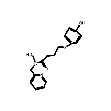 CN(Cc1ccccn1)C(=O)CCCSc1ccc(O)cc1